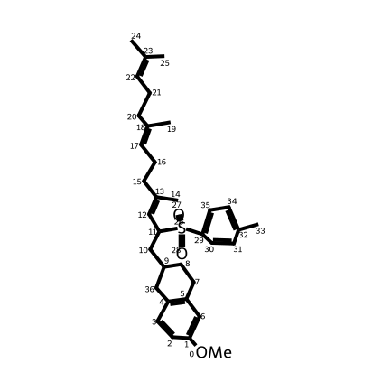 COc1ccc2c(c1)CCC(CC(/C=C(\C)CC/C=C(\C)CCC=C(C)C)S(=O)(=O)c1ccc(C)cc1)C2